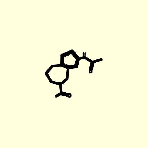 CC(=O)Nc1ccc2c(c1)CN(C(C)=O)CCC2